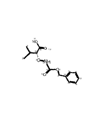 CC(C)[C@@H](ONC(=O)OCc1ccccc1)C(=O)O